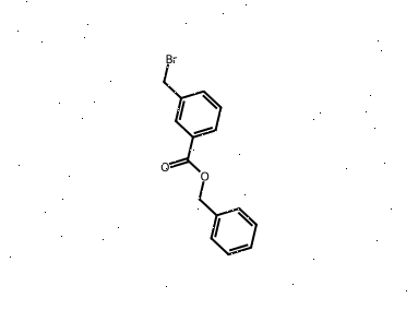 O=C(OCc1ccccc1)c1cccc(CBr)c1